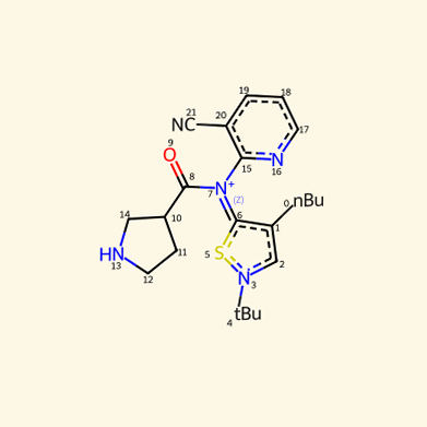 CCCCc1cn(C(C)(C)C)s/c1=[N+](\C(=O)C1CCNC1)c1ncccc1C#N